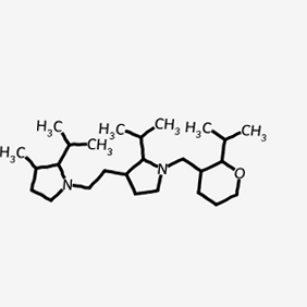 CC(C)C1OCCCC1CN1CCC(CCN2CCC(C)C2C(C)C)C1C(C)C